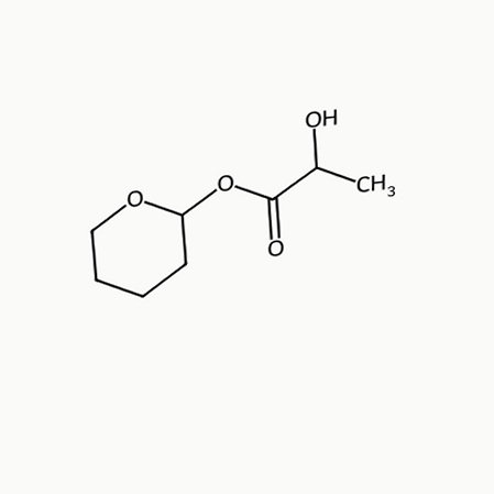 CC(O)C(=O)OC1CCCCO1